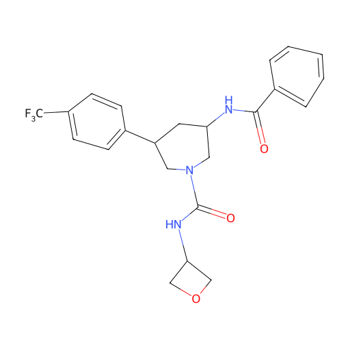 O=C(NC1CC(c2ccc(C(F)(F)F)cc2)CN(C(=O)NC2COC2)C1)c1ccccc1